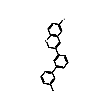 Cc1cccc(-c2cccc(C3=Cc4cc(Br)ccc4OC3)c2)c1